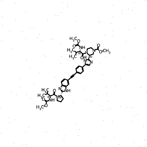 COC(=O)N[C@H](C(=O)N1CCN(C(=O)OC)C[C@H]1c1ncc(-c2ccc(C#Cc3ccc4nc([C@@H]5CCCN5C(=O)[C@@H](NC(=O)OC)C(C)C)[nH]c4c3)cc2)[nH]1)C(C)C